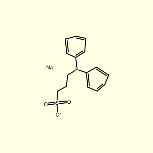 O=S(=O)([O-])CCCP(c1ccccc1)c1ccccc1.[Na+]